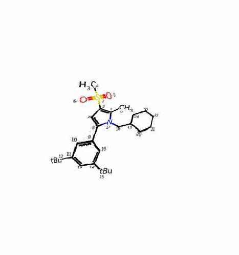 Cc1c(S(C)(=O)=O)cc(-c2cc(C(C)(C)C)cc(C(C)(C)C)c2)n1CC1CCCCC1